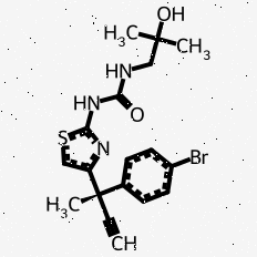 C#C[C@@](C)(c1ccc(Br)cc1)c1csc(NC(=O)NCC(C)(C)O)n1